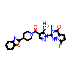 Cc1c(C(=O)N2CCC(c3nc4ccccc4s3)CC2)cnn1-c1nn2c(F)ccc2c(=O)[nH]1